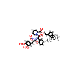 CC1(C)C2C(CCOC(=O)[C@@H]3CCCCN3C(=O)[C@@H](NC(=O)[C@H](O)Cc3ccc(O)c(O)c3)C3CCCCC3)CCC21C